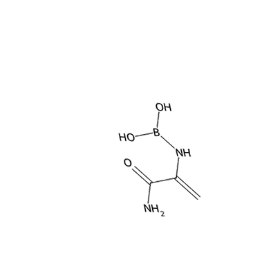 C=C(NB(O)O)C(N)=O